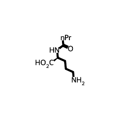 CCCC(=O)N[C@@H](CCCN)C(=O)O